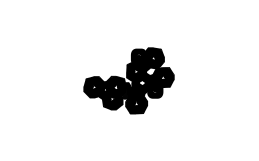 c1ccc2c(c1)-c1cccc3c(-n4c5ccccc5c5c6oc7ccccc7c6c6c(ccc7oc8ccccc8c76)c54)ccc-2c13